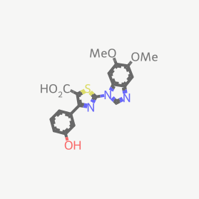 COc1cc2ncn(-c3nc(-c4cccc(O)c4)c(C(=O)O)s3)c2cc1OC